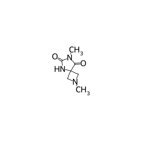 CN1CC2(C1)NC(=O)N(C)C2=O